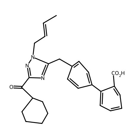 CC=CCn1nc(C(=O)C2CCCCC2)nc1Cc1ccc(-c2ccccc2C(=O)O)cc1